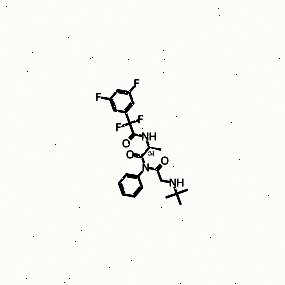 C[C@H](NC(=O)C(F)(F)c1cc(F)cc(F)c1)C(=O)N(C(=O)CNC(C)(C)C)c1ccccc1